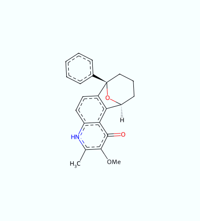 COc1c(C)[nH]c2ccc3c(c2c1=O)[C@@H]1CCC[C@]3(c2ccccc2)O1